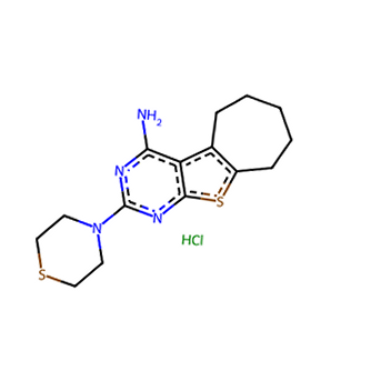 Cl.Nc1nc(N2CCSCC2)nc2sc3c(c12)CCCCC3